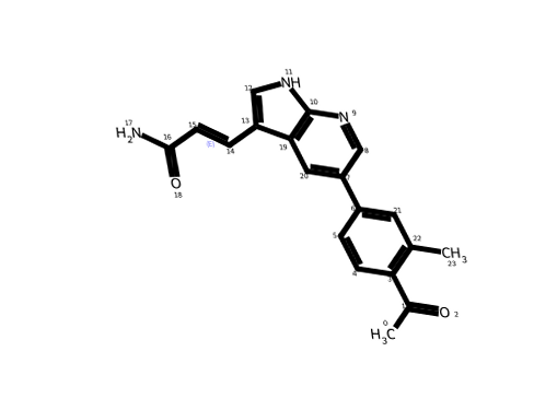 CC(=O)c1ccc(-c2cnc3[nH]cc(/C=C/C(N)=O)c3c2)cc1C